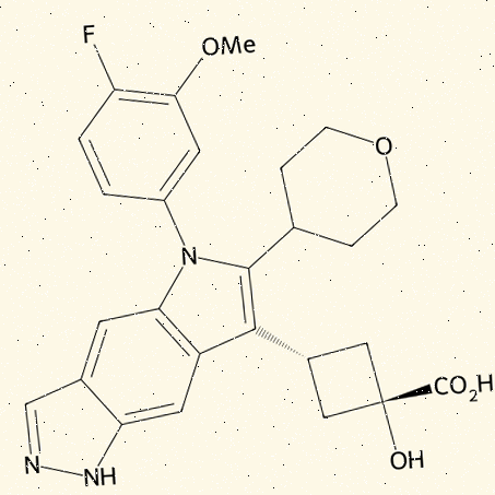 COc1cc(-n2c(C3CCOCC3)c([C@H]3C[C@](O)(C(=O)O)C3)c3cc4[nH]ncc4cc32)ccc1F